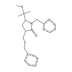 CSC(C)(C)C1CC(CSCc2ccccc2)C(=O)N1Cc1ccccc1